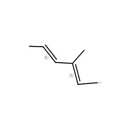 [CH2]/C=C(C)/C=C/C